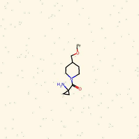 CC(C)OCC1CCN(C(=O)C2(N)CC2)CC1